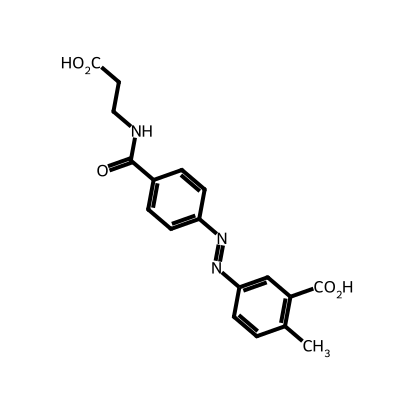 Cc1ccc(N=Nc2ccc(C(=O)NCCC(=O)O)cc2)cc1C(=O)O